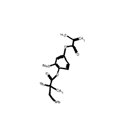 C=C(C)C(=O)Oc1ccc(OC(=O)C(C)(CC(C)C)C(C)(C)C)c(OC)c1